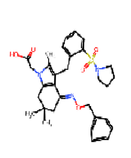 Cc1c(Cc2ccccc2S(=O)(=O)N2CCCC2)c2c(n1CC(=O)O)CC(C)(C)C/C2=N\OCc1ccccc1